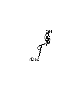 CCCCCCCCCCCCCCCCCC(=O)CC(C)CCCC(C)[C@H]1CC[C@H]2[C@@H]3CC=C4C[C@@H](O)CC[C@]4(C)[C@H]3CC[C@]12C